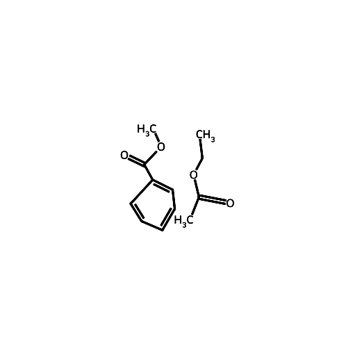 CCOC(C)=O.COC(=O)c1ccccc1